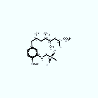 COc1ccc(C[C@@H](C[C@H](N)[C@@H](O)C[C@@H](C)C(=O)O)C(C)C)cc1OCS(C)(=O)=O